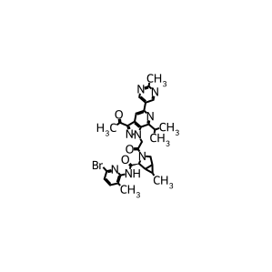 CC(=O)c1nn(CC(=O)N2CC3C(C)C3[C@H]2C(=O)Nc2nc(Br)ccc2C)c2c(C(C)C)nc(-c3cnc(C)nc3)cc12